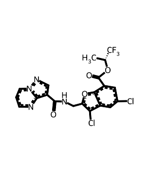 C[C@@H](OC(=O)c1cc(Cl)cc2c(Cl)c(CNC(=O)c3cnn4cccnc34)oc12)C(F)(F)F